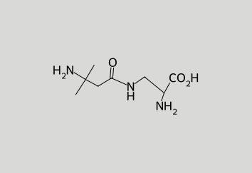 CC(C)(N)CC(=O)NCC(N)C(=O)O